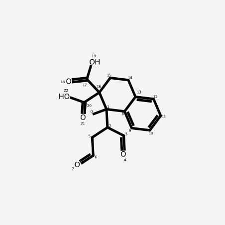 CC1(C(C=O)CC=O)c2ccccc2CCC1(C(=O)O)C(=O)O